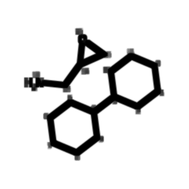 C1CCC(C2CCCCC2)CC1.NCC1CO1